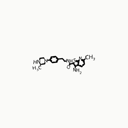 Cc1ccc2c(N)c(C(=O)NCCc3ccc(N4CCN[C@H](C)C4)cc3)sc2n1